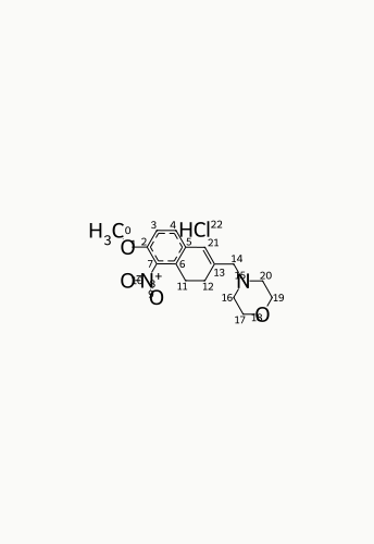 COc1ccc2c(c1[N+](=O)[O-])CCC(CN1CCOCC1)=C2.Cl